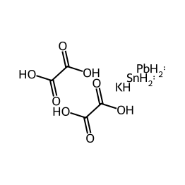 O=C(O)C(=O)O.O=C(O)C(=O)O.[KH].[PbH2].[SnH2]